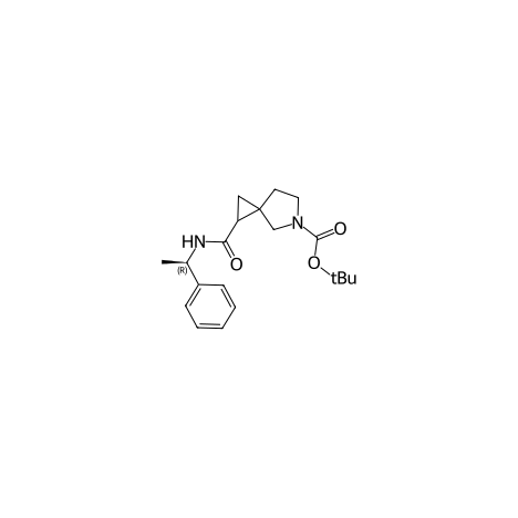 C[C@@H](NC(=O)C1CC12CCN(C(=O)OC(C)(C)C)C2)c1ccccc1